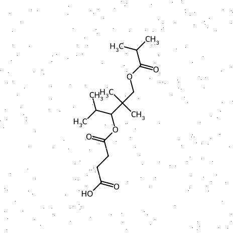 CC(C)C(=O)OCC(C)(C)C(OC(=O)CCC(=O)O)C(C)C